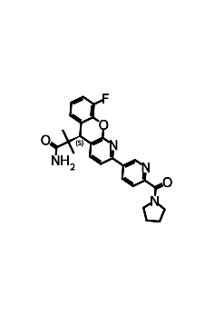 CC(C)(C(N)=O)[C@@H]1c2ccc(-c3ccc(C(=O)N4CCCC4)nc3)nc2Oc2c(F)cccc21